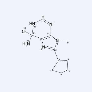 Cn1c(C2CCCC2)nc2c1N=CNC2(N)Cl